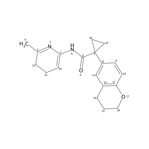 CC1=NC(NC(=O)C2(c3ccc4c(c3)CCCO4)CC2)=CCC1